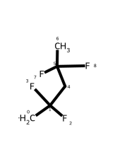 [CH2]C(F)(F)CC(C)(F)F